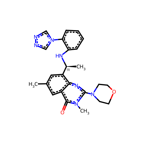 Cc1cc([C@H](C)Nc2ccccc2-n2cnnc2)c2nc(N3CCOCC3)n(C)c(=O)c2c1